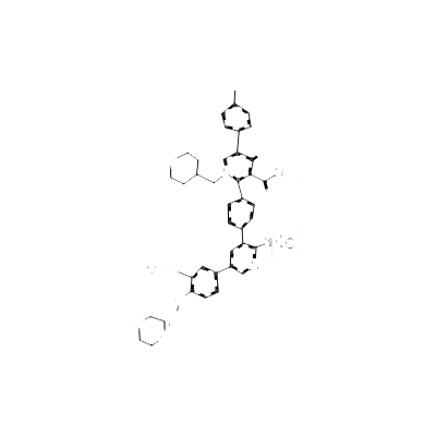 COc1cc(-c2cnc(N)c(-c3ccc(-c4c(C(N)=O)c(=O)c(-c5ccc(C)cc5)cn4CC4CCOCC4)cc3)c2)ccc1OC[C@H]1COCCO1.O.O=[N+]([O-])O